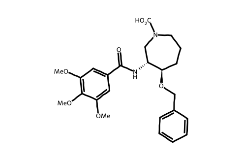 COc1cc(C(=O)N[C@@H]2CN(C(=O)O)CCC[C@H]2OCc2ccccc2)cc(OC)c1OC